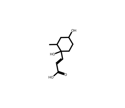 CC1CC(O)CCC1(O)C=CC(=O)O